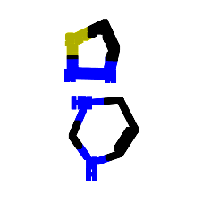 C1=CNCNC1.c1csnn1